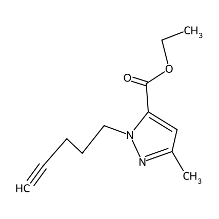 C#CCCCn1nc(C)cc1C(=O)OCC